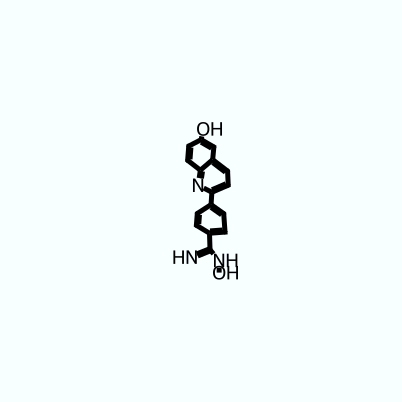 N=C(NO)c1ccc(-c2ccc3cc(O)ccc3n2)cc1